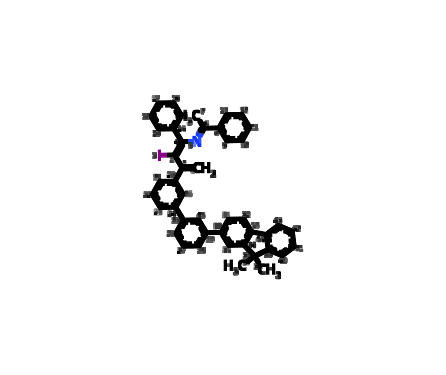 C=C(/C(I)=C(\N=C(/C)c1ccccc1)c1ccccc1)c1cccc(-c2cccc(-c3ccc4c(c3)C(C)(C)c3ccccc3-4)c2)c1